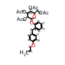 C=CCOc1ccc(Cc2ccccc2O[C@H]2O[C@H](COC(C)=O)[C@@H](OC(C)=O)[C@H](OC(C)=O)[C@H]2OC(C)=O)cc1